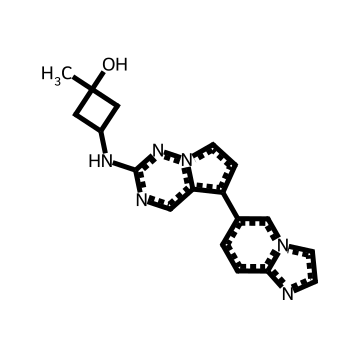 CC1(O)CC(Nc2ncc3c(-c4ccc5nccn5c4)ccn3n2)C1